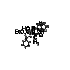 CCOC(=O)C(CCC1CCCCC1)N[C@@H](C)C(=O)N1[C@H](C(=O)O)C[C@@H]2CCC[C@@H]21